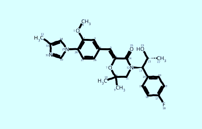 COc1cc(C=C2OC(C)(C)CN([C@H](c3ccc(F)cc3)[C@@H](C)O)C2=O)ccc1-n1cnc(C)c1